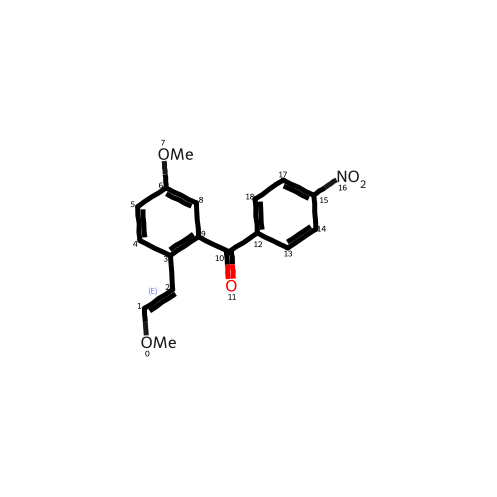 CO/C=C/c1ccc(OC)cc1C(=O)c1ccc([N+](=O)[O-])cc1